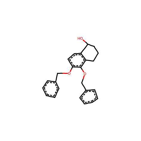 OC1CCCc2c1ccc(OCc1ccccc1)c2OCc1ccccc1